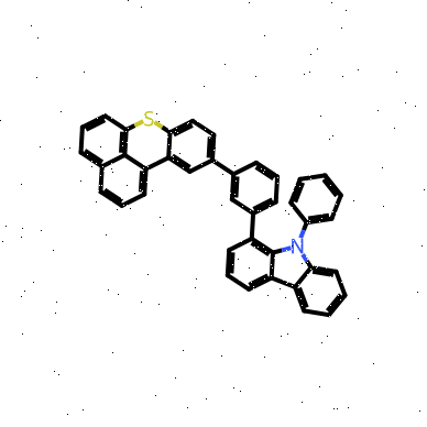 c1ccc(-n2c3ccccc3c3cccc(-c4cccc(-c5ccc6c(c5)-c5cccc7cccc(c57)S6)c4)c32)cc1